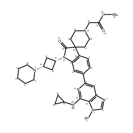 CC(C)n1cnc2cc(-c3ccc4c(c3)N([C@H]3C[C@@H](N5CCCCC5)C3)C(=O)C43CCN(CC(=O)OC(C)(C)C)CC3)nc(NC3CC3)c21